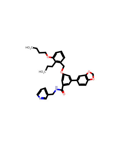 O=C(O)CCCOc1cccc(COc2cc(C(=O)NCc3cccnc3)cc(-c3ccc4c(c3)OCO4)c2)c1CCC(=O)O